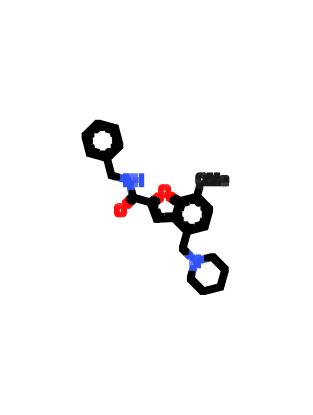 COc1ccc(CN2CCCCC2)c2cc(C(=O)NCc3ccccc3)oc12